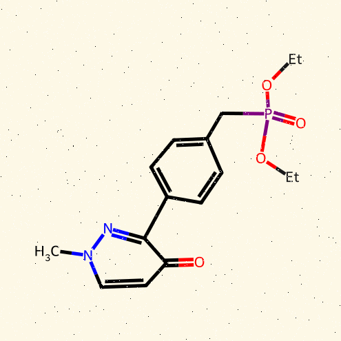 CCOP(=O)(Cc1ccc(-c2nn(C)ccc2=O)cc1)OCC